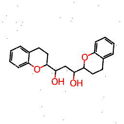 OC(CC(O)C1CCc2ccccc2O1)C1CCc2ccccc2O1